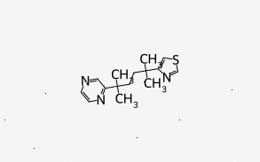 CC(C)(CCC(C)(C)c1cscn1)c1cnccn1